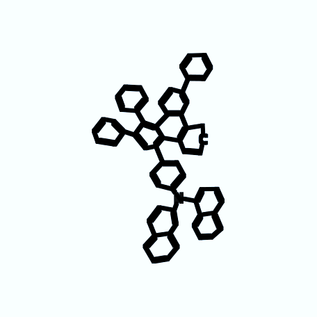 C1=Cc2c(c3cc(-c4ccccc4)ccc3c3c(-c4ccccc4)c(-c4ccccc4)cc(-c4ccc(N(c5ccc6ccccc6c5)c5cccc6ccccc56)cc4)c23)CC1